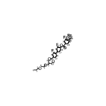 CCCOCCOCC1COC(c2ccc(-c3ccc(OC(=O)c4ccc(S(F)(F)(F)(F)F)c(F)c4)c(F)c3)c(F)c2)OC1